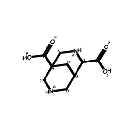 O=C(O)C1NCC2(C(=O)O)CNCC1C2